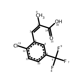 CC(=Cc1cc(C(F)(F)F)ccc1Cl)C(=O)O